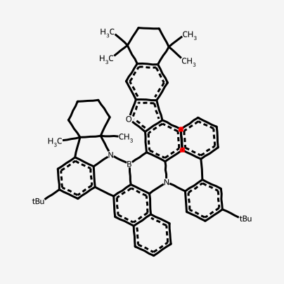 CC(C)(C)c1ccc(N2c3ccc4c(oc5cc6c(cc54)C(C)(C)CCC6(C)C)c3B3c4c(cc5ccccc5c42)-c2cc(C(C)(C)C)cc4c2N3C2(C)CCCCC42C)c(-c2ccccc2)c1